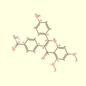 COc1cc(OC)c2c(=O)c(-c3ccc(C(N)=O)cc3)c(-c3ccc(O)cc3)oc2c1